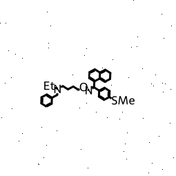 CCN(CCCCO/N=C(/c1ccc(SC)cc1)c1cccc2c1=CCCC=2)Cc1ccccc1